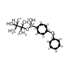 CC(C)(O)C(C)(C)OB(O)c1ccc(Oc2ccccc2)cc1